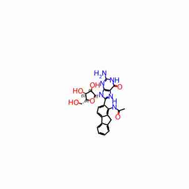 CC(=O)Nc1c(-c2nc3c(=O)[nH]c(N)nc3n2[C@@H]2O[C@H](CO)[C@@H](O)[C@H]2O)ccc2c1Cc1ccccc1-2